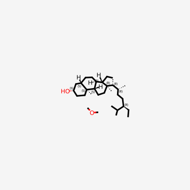 CC[C@H](CC[C@@H](C)[C@H]1CC[C@H]2[C@@H]3CC[C@H]4C[C@@H](O)CC[C@]4(C)[C@H]3CC[C@]12C)C(C)C.COC